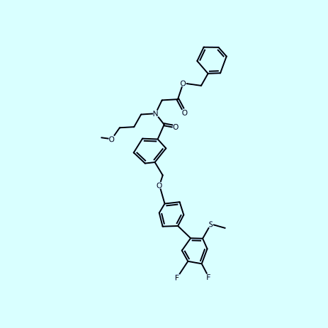 COCCCN(CC(=O)OCc1ccccc1)C(=O)c1cccc(COc2ccc(-c3cc(F)c(F)cc3SC)cc2)c1